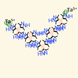 Cc1n[nH]c(C)c1[BH-](c1c(C)n[nH]c1C)c1c(C)n[nH]c1C.Cc1n[nH]c(C)c1[BH-](c1c(C)n[nH]c1C)c1c(C)n[nH]c1C.Cc1n[nH]c(C)c1[BH-](c1c(C)n[nH]c1C)c1c(C)n[nH]c1C.Cc1n[nH]c(C)c1[BH-](c1c(C)n[nH]c1C)c1c(C)n[nH]c1C.Cc1n[nH]c(C)c1[BH-](c1c(C)n[nH]c1C)c1c(C)n[nH]c1C.[Cl-].[Cl-].[Cl-].[Cl-].[Cl-].[Ta+5].[Ta+5]